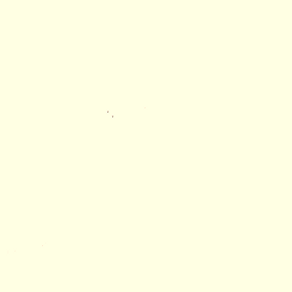 CCCCCC(=O)Nc1ccc(C(=O)O)c(Cl)c1